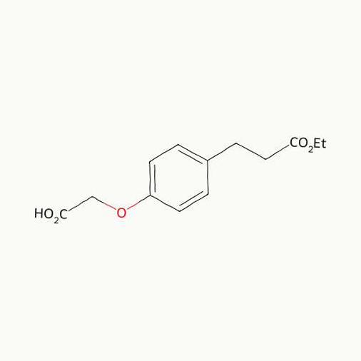 CCOC(=O)CCc1ccc(OCC(=O)O)cc1